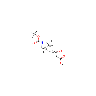 COC(=O)CC(=O)[C@@H]1C[C@@H]2CN(C(=O)OC(C)(C)C)C[C@@H]2C1